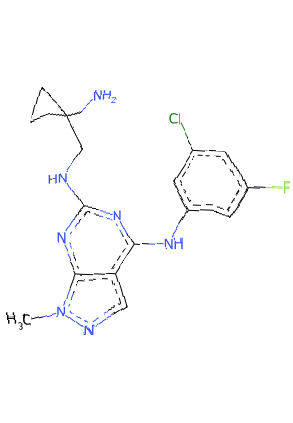 Cn1ncc2c(Nc3cc(F)cc(Cl)c3)nc(NCC3(N)CC3)nc21